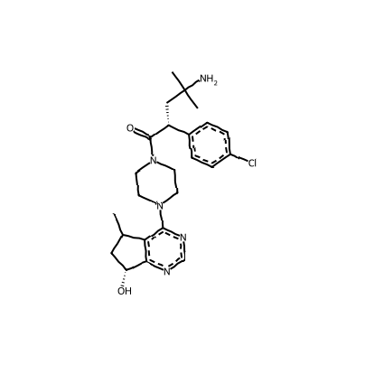 CC1C[C@@H](O)c2ncnc(N3CCN(C(=O)[C@H](CC(C)(C)N)c4ccc(Cl)cc4)CC3)c21